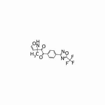 CC1(C(=O)C(=O)c2ccc(-c3noc(C(F)(F)F)n3)cc2)C=CON1